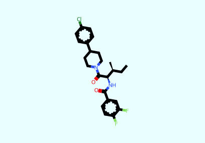 CC[C@H](C)[C@@H](NC(=O)c1ccc(F)c(F)c1)C(=O)N1CCC(c2ccc(Cl)cc2)CC1